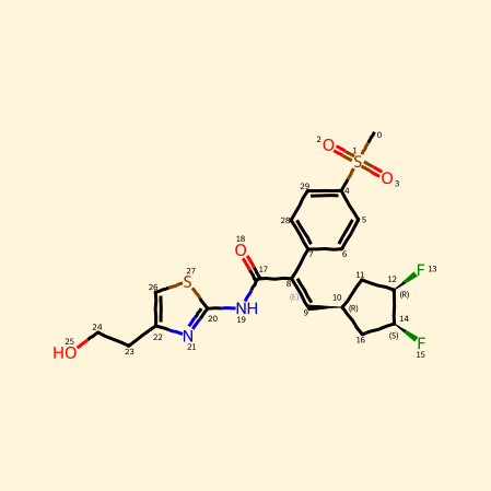 CS(=O)(=O)c1ccc(/C(=C\[C@H]2C[C@@H](F)[C@@H](F)C2)C(=O)Nc2nc(CCO)cs2)cc1